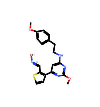 COc1ccc(CCNc2cc(-c3ccsc3/C=N/O)nc(OC)n2)cc1